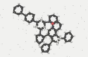 c1ccc(-c2ccc(-c3nc(-c4ccccc4)nc(-c4ccccc4-c4cc5ccccc5c5c4c(-c4ccccc4)nn5-c4ccccc4)n3)cc2)cc1